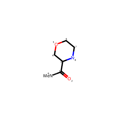 CNC(=O)C1COCC[N]1